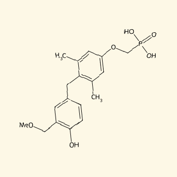 COCc1cc(Cc2c(C)cc(OCP(=O)(O)O)cc2C)ccc1O